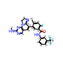 CNc1ncc2c(n1)N1CCN=C1C(c1cc(C(=O)Nc3cccc(C(F)(F)F)c3)c(F)cc1C)=C2